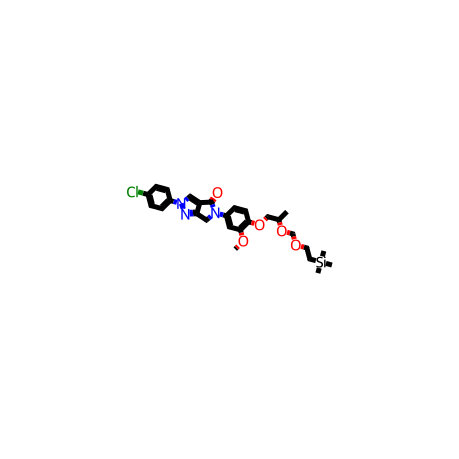 COc1cc(N2Cc3nn(-c4ccc(Cl)cc4)cc3C2=O)ccc1OCC(C)OCOCC[Si](C)(C)C